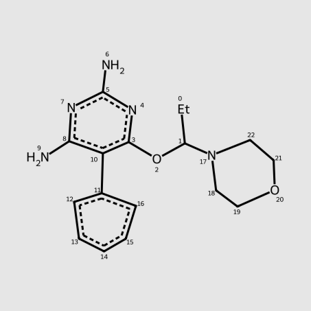 CCC(Oc1nc(N)nc(N)c1-c1ccccc1)N1CCOCC1